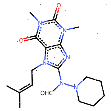 CC(C)=CCn1c(N(C=O)N2CCCCC2)nc2c1c(=O)n(C)c(=O)n2C